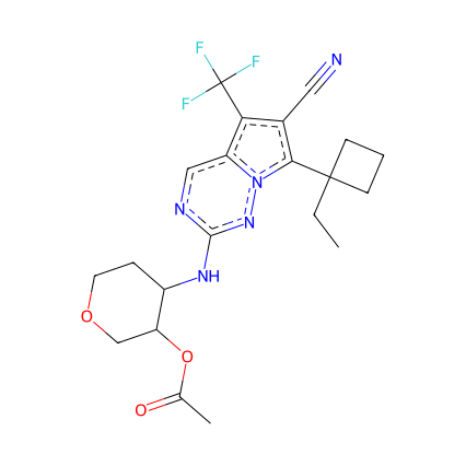 CCC1(c2c(C#N)c(C(F)(F)F)c3cnc(NC4CCOCC4OC(C)=O)nn23)CCC1